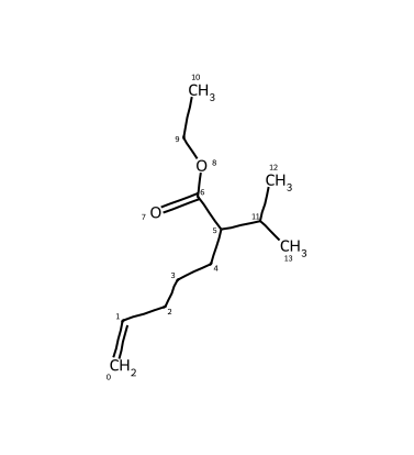 C=CCCCC(C(=O)OCC)C(C)C